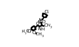 CCC(C(=N)C(=O)c1ccc(OC)c(OC)c1)c1nnc(-c2ccc(Cl)cc2)o1